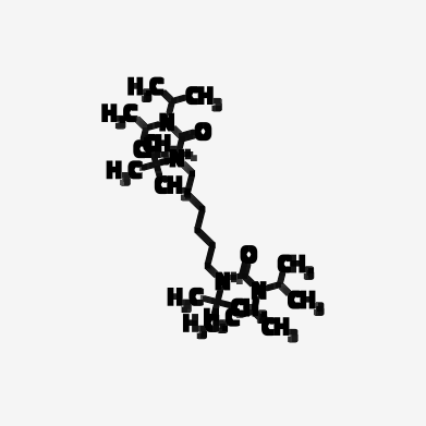 CC(C)N(C(=O)[N+](CCCCCC[N+](C(=O)N(C(C)C)C(C)C)C(C)(C)C)C(C)(C)C)C(C)C